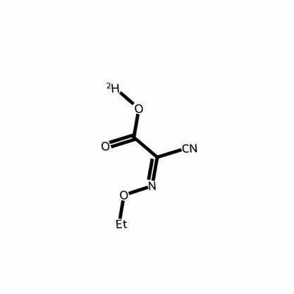 [2H]OC(=O)C(C#N)=NOCC